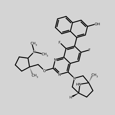 CN(C)C1CCC[C@]1(C)COc1nc(N2C[C@H]3CC[C@](C)(C2)N3)c2cc(F)c(-c3cc(O)cc4ccccc34)c(F)c2n1